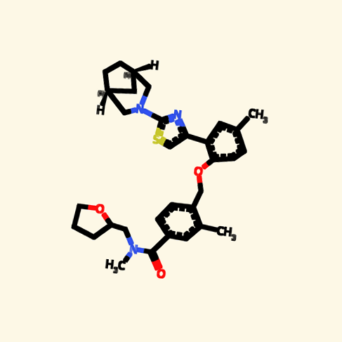 Cc1ccc(OCc2ccc(C(=O)N(C)CC3CCCO3)cc2C)c(-c2csc(N3C[C@@H]4CC[C@@H](C4)C3)n2)c1